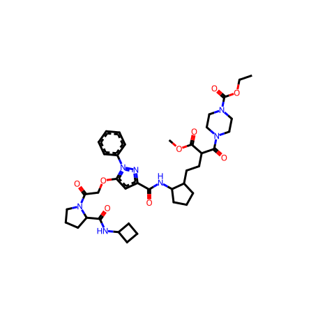 CCOC(=O)N1CCN(C(=O)C(CCC2CCCC2NC(=O)c2cc(OCC(=O)N3CCCC3C(=O)NC3CCC3)n(-c3ccccc3)n2)C(=O)OC)CC1